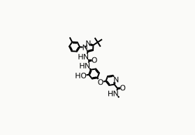 CNC(=O)c1cc(Oc2ccc(NC(=O)Nc3cc(C(C)(C)C)nn3-c3cccc(C)c3)c(O)c2)ccn1